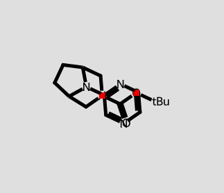 CC(C)(C)OC(=O)N1CC2CCC(C1)N2c1cnccn1